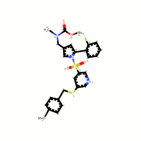 COc1ccc(CSc2cncc(S(=O)(=O)n3cc(CN(C)C(=O)OC(C)(C)C)cc3-c3ccccc3F)c2)cc1